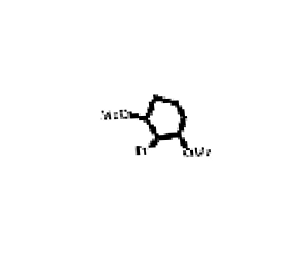 COC1CCCC(OC)[C]1C(C)C